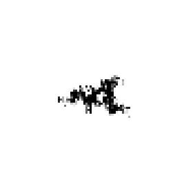 CNc1cc(-c2c[nH]c3c(C)cc(CCNc4cc(Nc5cccn(-c6cccc(C(C)(C)O)n6)c5=O)nc5c(C(N)=O)cnn45)cc23)nc2c(C(N)=O)cnn12